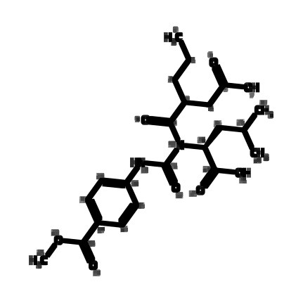 CCCC(CC(=O)O)C(=O)N(C(=O)Nc1ccc(C(=O)OC)cc1)[C@@H](CC(C)C)C(=O)O